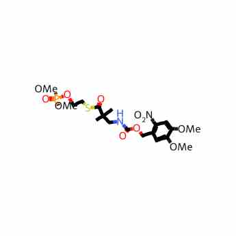 COc1cc(COC(=O)NCC(C)(C)C(=O)SCCOP(=O)(OC)OC)c([N+](=O)[O-])cc1OC